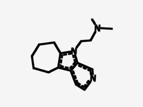 CN(C)CCn1c2c(c3ccncc31)CCCCC2